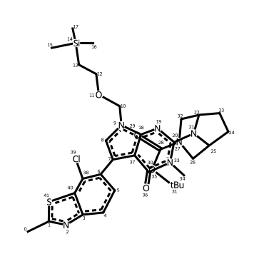 Cc1nc2ccc(-c3cn(COCC[Si](C)(C)C)c4nc(N5C6CCC5CN(C(=O)OC(C)(C)C)C6)n(C)c(=O)c34)c(Cl)c2s1